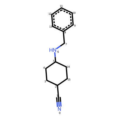 N#CC1CCC(NCc2ccccc2)CC1